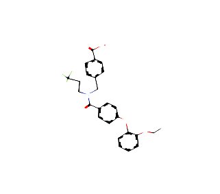 CCOc1ccccc1Oc1ccc(C(=O)N(CCC(F)(F)F)Cc2ccc(C(=O)O)cc2)cc1